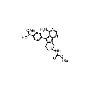 COC(O)c1ccc(-c2c3n(c4ncnc(N)c24)C[C@@](C)(NC(=O)OC(C)(C)C)CC3)cc1